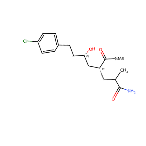 CNC(=O)[C@H](CC(C)C(N)=O)C[C@@H](O)[CH]Cc1ccc(Cl)cc1